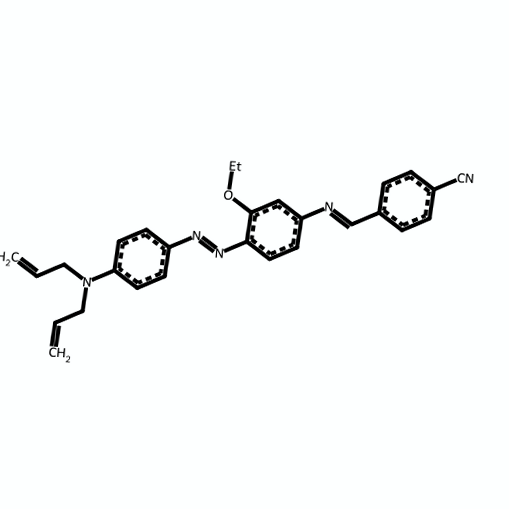 C=CCN(CC=C)c1ccc(/N=N/c2ccc(N=Cc3ccc(C#N)cc3)cc2OCC)cc1